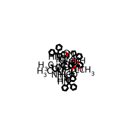 CC[C@H](C)[C@H](N)C(=O)N[C@@H](CCC(=O)NC(c1ccccc1)(c1ccccc1)c1ccccc1)C(=O)N[C@@H](CC(=O)NC(c1ccccc1)(c1ccccc1)c1ccccc1)C(=O)N[C@@H](CSC(c1ccccc1)(c1ccccc1)c1ccccc1)C(=O)N1CCC[C@H]1C(=O)N[C@@H](CC(C)C)C(=O)NCC(=O)O